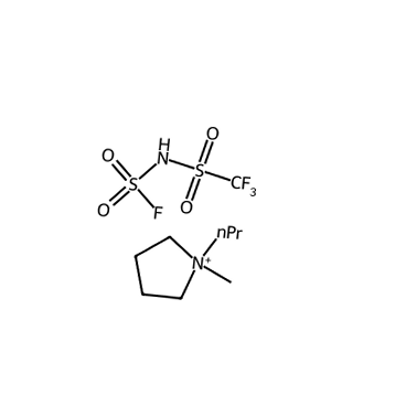 CCC[N+]1(C)CCCC1.O=S(=O)(F)NS(=O)(=O)C(F)(F)F